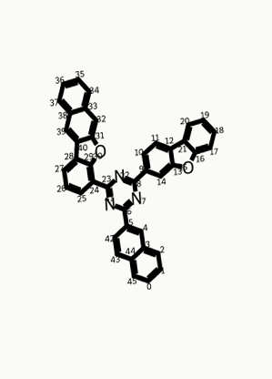 c1ccc2cc(-c3nc(-c4ccc5c(c4)oc4ccccc45)nc(-c4cccc5c4oc4cc6ccccc6cc45)n3)ccc2c1